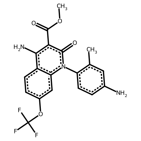 COC(=O)c1c(N)c2ccc(OC(F)(F)F)cc2n(-c2ccc(N)cc2C)c1=O